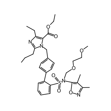 CCCc1nc(CC)c(C(=O)OCC)n1Cc1ccc(-c2ccccc2S(=O)(=O)N(COCCOC)c2onc(C)c2C)cc1